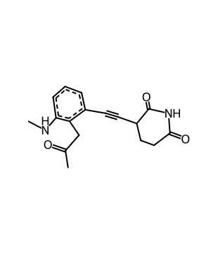 CNc1cccc(C#CC2CCC(=O)NC2=O)c1CC(C)=O